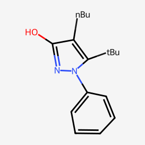 CCCCc1c(O)nn(-c2ccccc2)c1C(C)(C)C